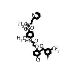 Cc1cc(S(=O)(=O)N(C)CCc2ccccn2)ccc1NC(=O)COc1ccc(Cl)cc1C(=O)c1cc(F)cc(C(F)(F)F)c1